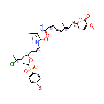 COC1=CC[C@@H]([C@@H](C)/C=C(C)/C=C\C=C/C(=O)N[C@H](C(=O)N/C=C\C[C@H](C/C=C(\C)Cl)OC(C)S(=O)(=O)c2ccc(Br)cc2)C(C)(C)C)OC1=O